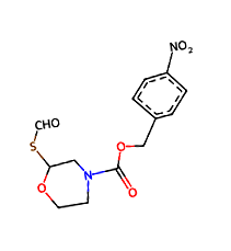 O=CSC1CN(C(=O)OCc2ccc([N+](=O)[O-])cc2)CCO1